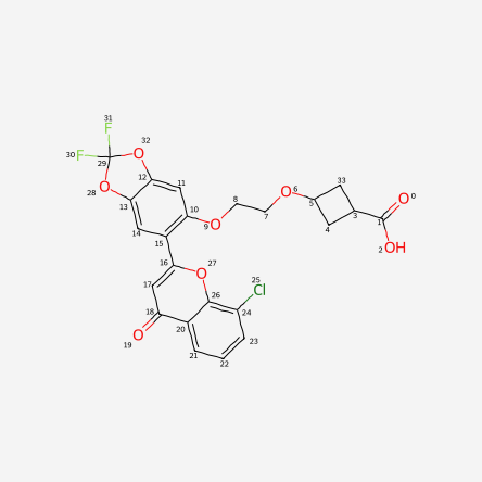 O=C(O)C1CC(OCCOc2cc3c(cc2-c2cc(=O)c4cccc(Cl)c4o2)OC(F)(F)O3)C1